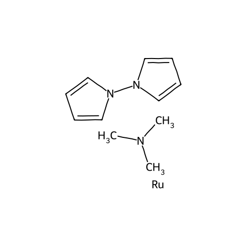 CN(C)C.[Ru].c1ccn(-n2cccc2)c1